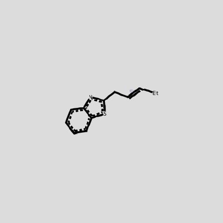 CC/C=C/[CH]c1nc2ccccc2s1